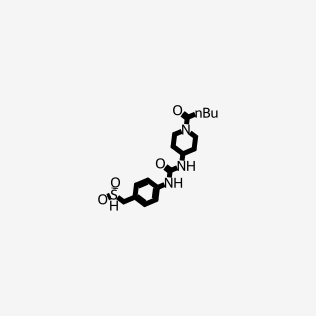 CCCCC(=O)N1CCC(NC(=O)Nc2ccc(C[SH](=O)=O)cc2)CC1